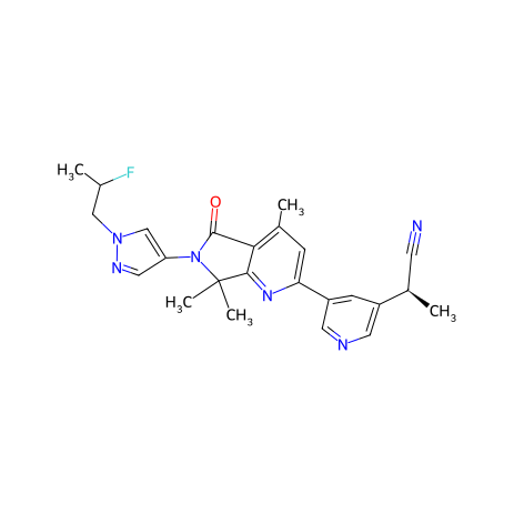 Cc1cc(-c2cncc([C@H](C)C#N)c2)nc2c1C(=O)N(c1cnn(CC(C)F)c1)C2(C)C